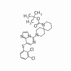 CC(C)(C)OC(=O)N1CCCCC12CCN(c1ncc(Sc3cccc(Cl)c3Cl)c3nccn13)CC2